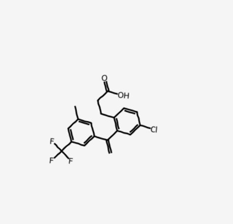 C=C(c1cc(C)cc(C(F)(F)F)c1)c1cc(Cl)ccc1CCC(=O)O